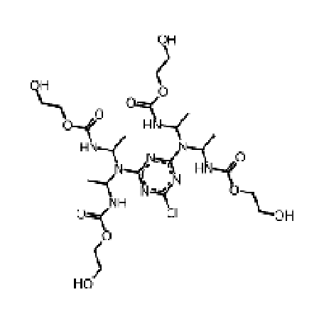 CC(NC(=O)OCCO)N(c1nc(Cl)nc(N(C(C)NC(=O)OCCO)C(C)NC(=O)OCCO)n1)C(C)NC(=O)OCCO